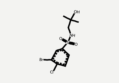 CC(C)(O)CNS(=O)(=O)c1ccc(Cl)c(Br)c1